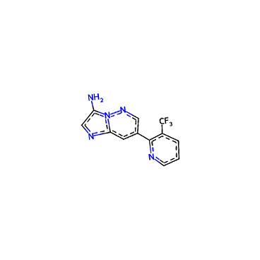 Nc1cnc2cc(-c3ncccc3C(F)(F)F)cnn12